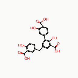 O=C(O)c1ccc(-c2cc(Cc3ccc(O)c(C(=O)O)c3)cc(C(=O)O)c2O)cc1O